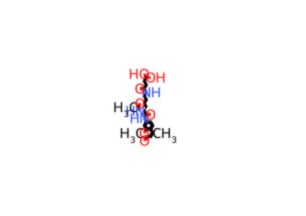 COc1cc(NC(=O)[C@H](CCCCNC(=O)CCC(O)O)NC(C)=O)ccc1/C(C)=C\C=O